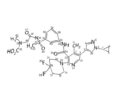 Cc1c(-c2cnn(C3CC3)c2)cnc(N2CCCC(F)(F)CC2)c1C(=O)Nc1cccc(S(C)(=O)=NC(=O)CN(C)C(=O)O)c1